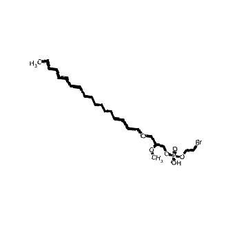 CCCCCCCCCCCCCCCCCCOCC(COP(=O)(O)OCCBr)OC